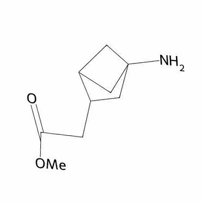 COC(=O)CC1CC2(N)CC1C2